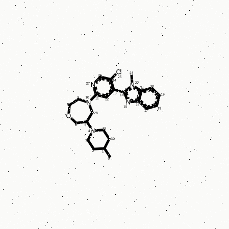 CC1CCN(C2COCCN(c3cc(-c4nc5ccccc5n4C)c(Cl)cn3)C2)CC1